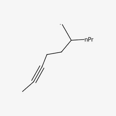 [CH2]C(CCC)CCC#CC